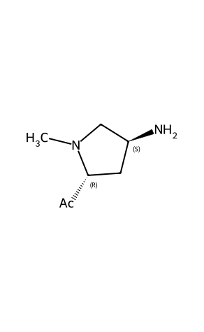 CC(=O)[C@H]1C[C@H](N)CN1C